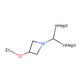 CCCCCCCC(CCCCCCC)N1CC(OCC)C1